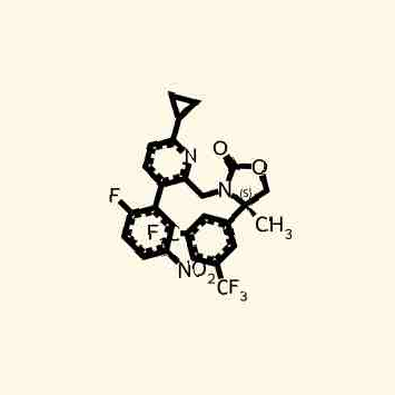 C[C@]1(c2cc(C(F)(F)F)cc(C(F)(F)F)c2)COC(=O)N1Cc1nc(C2CC2)ccc1-c1cc([N+](=O)[O-])ccc1F